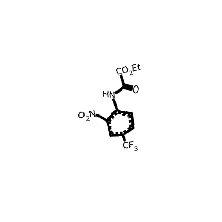 CCOC(=O)C(=O)Nc1ccc(C(F)(F)F)cc1[N+](=O)[O-]